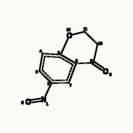 O=Nc1ccc2c(c1)C(=O)CCO2